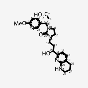 COc1ccc([C@H](CC(=O)O)N2CCN(CC[C@H](O)c3ccc4c(n3)NCCC4)C2=O)cn1